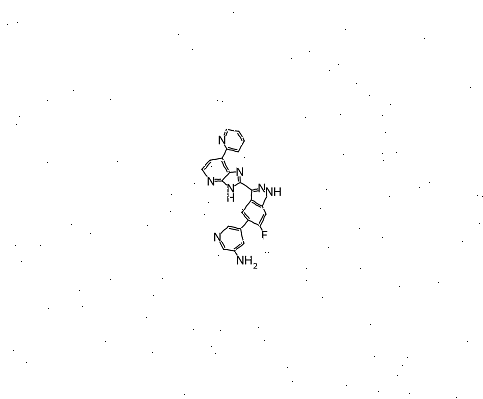 Nc1cncc(-c2cc3c(-c4nc5c(-c6ccccn6)ccnc5[nH]4)n[nH]c3cc2F)c1